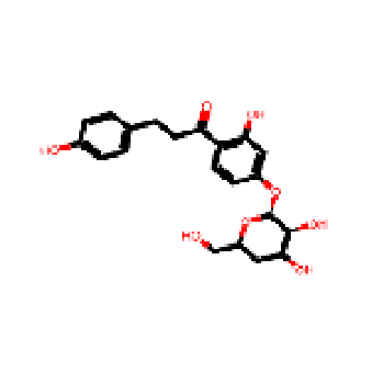 O=C(CCc1ccc(O)cc1)c1ccc(O[C@@H]2OC(CO)CC(O)[C@@H]2O)cc1O